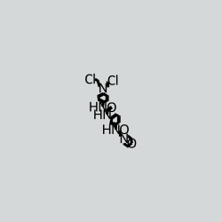 O=C(CN1CCOCC1)Nc1cccc(NC(=O)Nc2ccc(N(CCCl)CCCl)cc2)c1